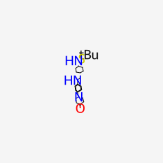 CC(C)(C)SN[C@H]1CC[C@H](CNc2ccc(N3CCC(=O)CC3)cc2)CC1